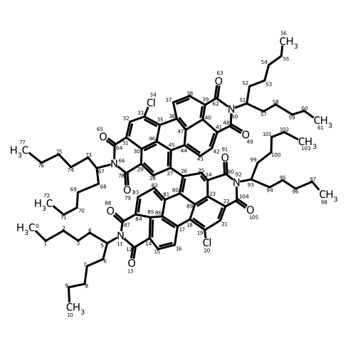 CCCCCC(CCCCC)N1C(=O)c2ccc3c4c(Cl)cc5c6c(cc(-c7cc8c9c(cc(Cl)c%10c%11ccc%12c%13c(ccc(c7c9%10)c%13%11)C(=O)N(C(CCCCC)CCCCC)C%12=O)C(=O)N(C(CCCCC)CCCCC)C8=O)c(c7ccc(c2c37)C1=O)c64)C(=O)N(C(CCCCC)CCCCC)C5=O